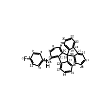 Fc1ccc(Nc2cccc3c2-c2ccccc2C32c3ccccc3-c3ccccc32)cc1